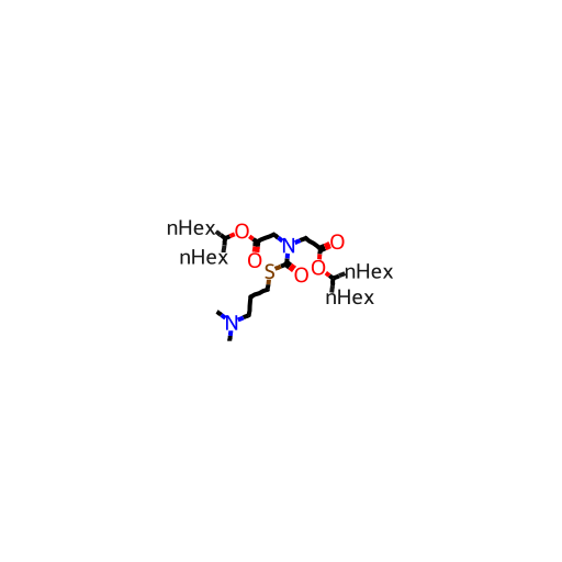 CCCCCCC(CCCCCC)OC(=O)CN(CC(=O)OC(CCCCCC)CCCCCC)C(=O)SCCCN(C)C